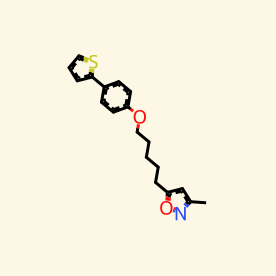 Cc1cc(CCCCCOc2ccc(-c3cccs3)cc2)on1